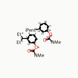 CCC(CC)c1cccc(OC(=O)NC)c1.CCCC(C)c1cccc(OC(=O)NC)c1